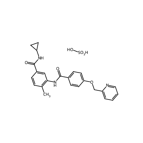 Cc1ccc(C(=O)NC2CC2)cc1NC(=O)c1ccc(OCc2ccccn2)cc1.O=S(=O)(O)O